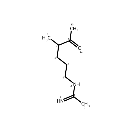 CC(=N)NCCCC(C)C(C)=O